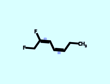 CC/C=C\C=C(\F)CF